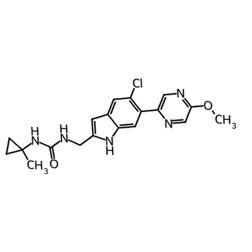 COc1cnc(-c2cc3[nH]c(CNC(=O)NC4(C)CC4)cc3cc2Cl)cn1